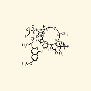 CCN(C)c1cc2cc(OC)ccc2c(O[C@@H]2C[C@H]3C(=O)N[C@]4(C(=O)NS(=O)(=O)C5(CF)CC5)C[C@H]4/C=C\CC[C@@H](C)C[C@@H](C)[C@H](N(C(=O)O)C(C)(C)C(F)(F)F)C(=O)N3C2)n1